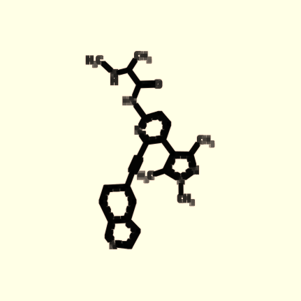 CNC(C)C(=O)Nc1ccc(-c2c(C)nn(C)c2C)c(C#Cc2ccc3cnccc3c2)n1